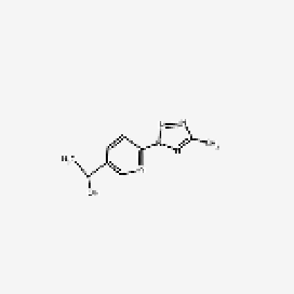 Cc1nnn(-c2ccc(C(C)O)cn2)n1